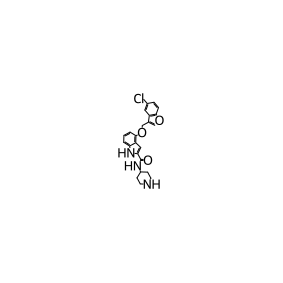 O=C(NC1CCNCC1)c1cc2c(OCc3coc4ccc(Cl)cc34)cccc2[nH]1